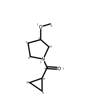 COC1CCN(C(=O)C2CC2)C1